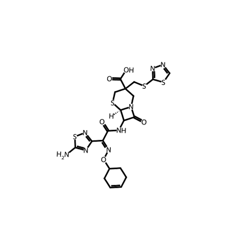 Nc1nc(C(=NOC2CC=CCC2)C(=O)NC2C(=O)N3CC(CSc4nncs4)(C(=O)O)CS[C@H]23)ns1